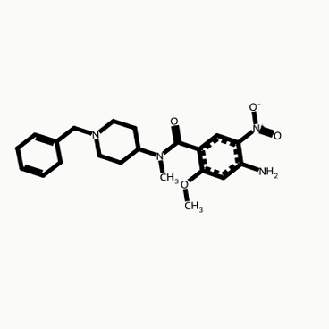 COc1cc(N)c([N+](=O)[O-])cc1C(=O)N(C)C1CCN(CC2=CCC=CC2)CC1